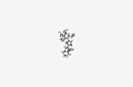 COc1cc(C=O)c(-c2csc(-c3cc4ccccc4[nH]3)n2)c(OC)c1OC